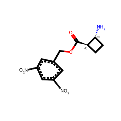 N[C@@H]1CC[C@H]1C(=O)OCc1cc([N+](=O)[O-])cc([N+](=O)[O-])c1